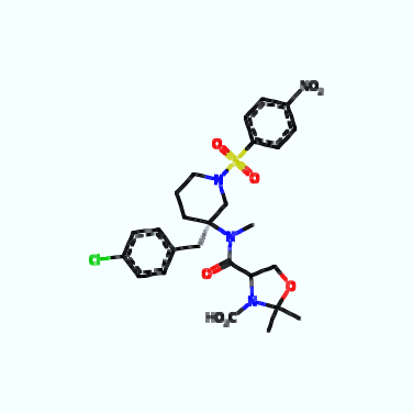 CN(C(=O)C1COC(C)(C)N1C(=O)O)[C@@]1(Cc2ccc(Cl)cc2)CCCN(S(=O)(=O)c2ccc([N+](=O)[O-])cc2)C1